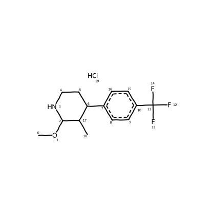 COC1NCCC(c2ccc(C(F)(F)F)cc2)C1C.Cl